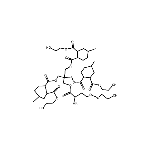 CCCCC(CCOOCCO)C(=O)OCC(COC(=O)C1CCC(C)CC1C(=O)OCCO)(COC(=O)C1CCC(C)CC1C(=O)OCCO)COC(=O)C1CCC(C)CC1C(=O)OCCO